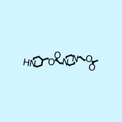 CC(=O)OCCN1CCN(CC(=O)OCC2CCNCC2)CC1